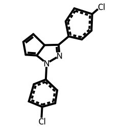 Clc1ccc(C2=NN(c3ccc(Cl)cc3)C3=CC=CC32)cc1